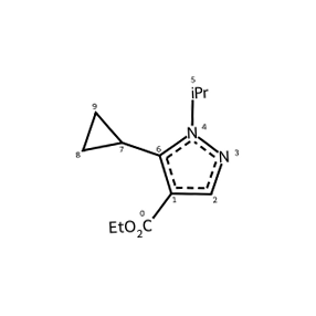 CCOC(=O)c1cnn(C(C)C)c1C1CC1